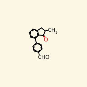 CC1Cc2cccc(-c3ccc(C=O)cc3)c2C1=O